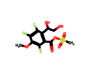 COc1c(F)c(F)c(C(O)CO)c(C(=O)OS(C)(=O)=O)c1F